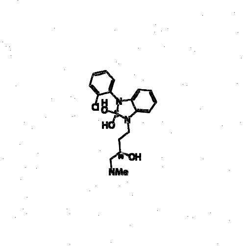 CNC[C@@H](O)CCN1c2ccccc2N(c2ccccc2Cl)S1(O)O